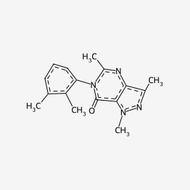 Cc1cccc(-n2c(C)nc3c(C)nn(C)c3c2=O)c1C